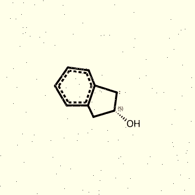 O[C@H]1[C]c2ccccc2C1